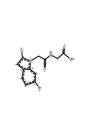 O=C(O)CNC(=O)Cn1c(Cl)cc2ccc(Br)cc21